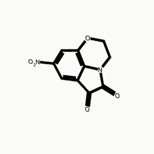 O=C1C(=O)N2CCOc3cc([N+](=O)[O-])cc1c32